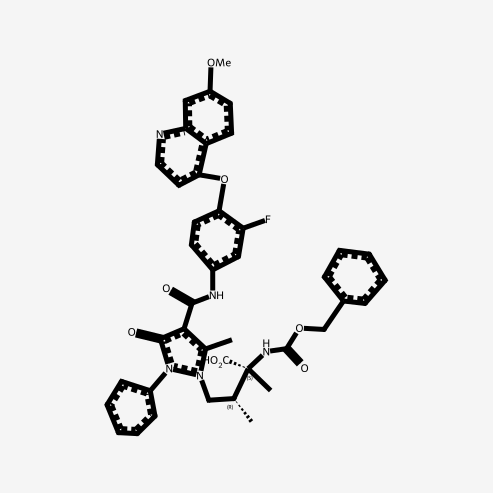 COc1ccc2c(Oc3ccc(NC(=O)c4c(C)n(C[C@@H](C)[C@](C)(NC(=O)OCc5ccccc5)C(=O)O)n(-c5ccccc5)c4=O)cc3F)ccnc2c1